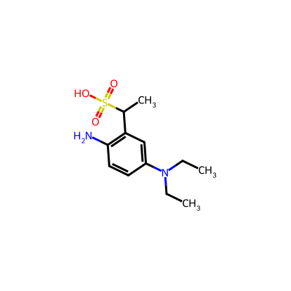 CCN(CC)c1ccc(N)c(C(C)S(=O)(=O)O)c1